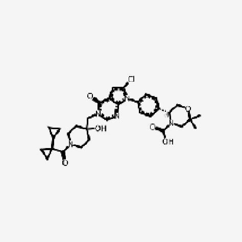 CC1(C)CN(C(=O)O)[C@H](c2ccc(-n3c(Cl)cc4c(=O)n(CC5(O)CCN(C(=O)C6(C7CC7)CC6)CC5)cnc43)cc2)CO1